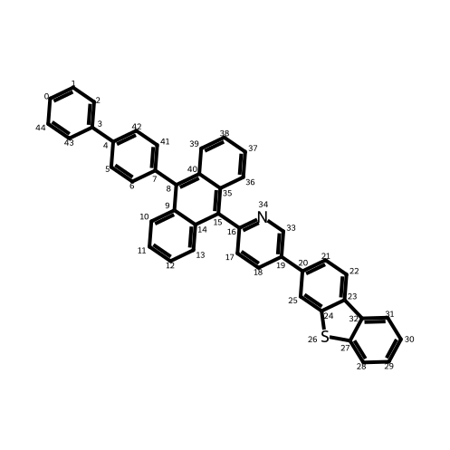 c1ccc(-c2ccc(-c3c4ccccc4c(-c4ccc(-c5ccc6c(c5)sc5ccccc56)cn4)c4ccccc34)cc2)cc1